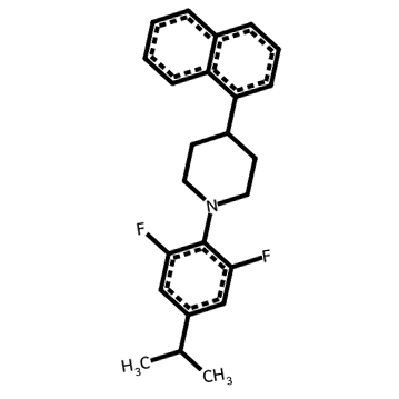 CC(C)c1cc(F)c(N2CCC(c3cccc4ccccc34)CC2)c(F)c1